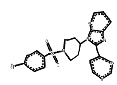 CCc1ccc(S(=O)(=O)N2CCC(n3c(-c4ccncn4)nc4cccnc43)CC2)cc1